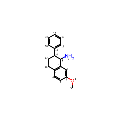 COc1ccc2c(c1)C(N)C(c1ccccc1)CC2